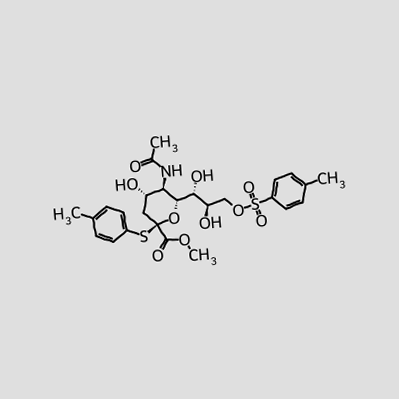 COC(=O)[C@]1(Sc2ccc(C)cc2)C[C@H](O)[C@@H](NC(C)=O)[C@H]([C@H](O)[C@H](O)COS(=O)(=O)c2ccc(C)cc2)O1